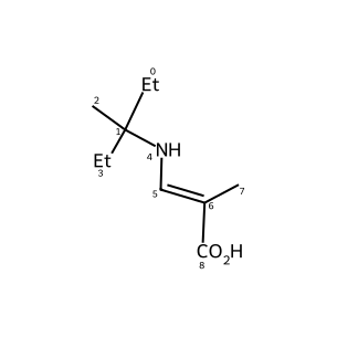 CCC(C)(CC)NC=C(C)C(=O)O